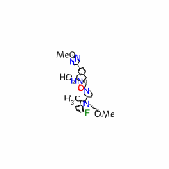 COCCCn1c(C2CCCN(C(=O)C[C@@H](Cc3ccc(-c4cnc(OC)nc4)cc3)NC(=O)O)C2)c(C)c2cccc(F)c21